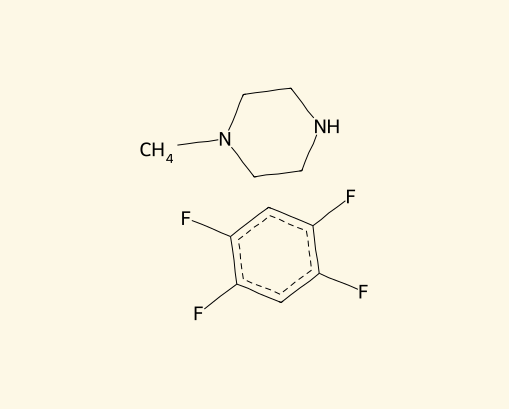 C.CN1CCNCC1.Fc1cc(F)c(F)cc1F